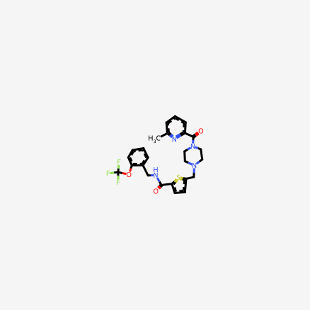 Cc1cccc(C(=O)N2CCN(Cc3ccc(C(=O)NCc4ccccc4OC(F)(F)F)s3)CC2)n1